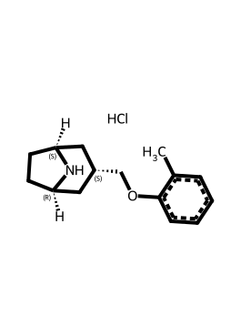 Cc1ccccc1OC[C@@H]1C[C@H]2CC[C@@H](C1)N2.Cl